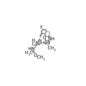 CCC[C@H](N[C@H]1CCc2cc(F)cc(F)c2C1)C(=O)Nc1cn([C@@H](C)CN[C@@H](C)COC)cn1